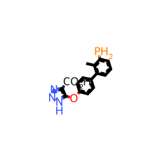 Cc1c(P)cccc1-c1ccc(Oc2[nH]nnc2C(=O)O)cc1